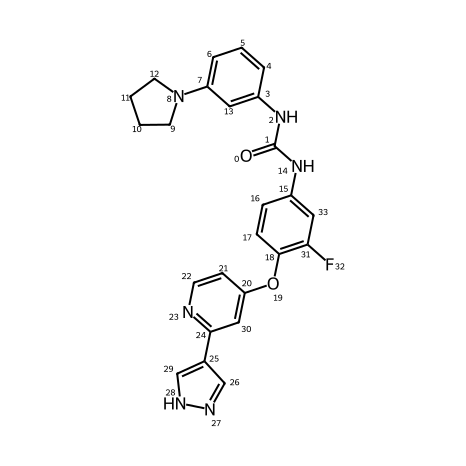 O=C(Nc1cccc(N2CCCC2)c1)Nc1ccc(Oc2ccnc(-c3cn[nH]c3)c2)c(F)c1